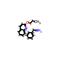 CCCOc1ccc2ccccc2n1.NCc1ccccc1